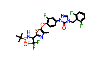 Cc1nc(C(N[S+]([O-])C(C)(C)C)C(F)(F)F)sc1Oc1ccc(-n2ncn(Cc3c(F)cccc3F)c2=O)cc1F